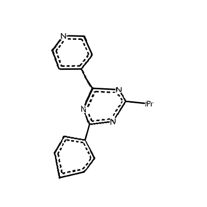 CC(C)c1nc(-c2ccccc2)nc(-c2ccncc2)n1